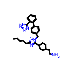 CCCCCc1nc(C2CCC(CCN)CC2)n(Cc2ccc(-c3ccccc3-c3nnn[nH]3)cc2)n1